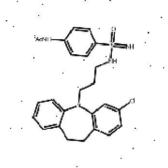 CC(=O)Nc1ccc(S(=N)(=O)NCCCN2c3ccccc3CCc3ccc(Cl)cc32)cc1